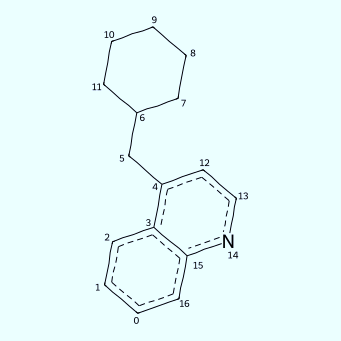 c1ccc2c(CC3CCCCC3)ccnc2c1